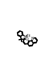 CCN1c2ccccc2C(C)(C)C12C=Cc1ccc3cccnc3c1O2